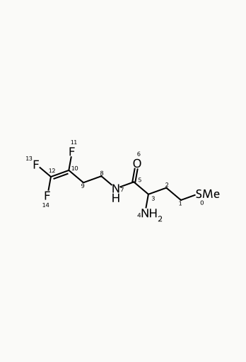 CSCCC(N)C(=O)NCCC(F)=C(F)F